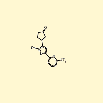 CC(C)n1nc(-c2cccc(C(F)(F)F)n2)cc1[C@H]1CCC(=O)C1